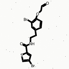 O=CCOc1ccc(CCNC(=O)c2cc(Br)cs2)cc1Br